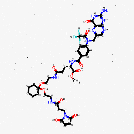 COC(=O)[C@H](CCC(=O)NCCOC1(OCCNC(=O)CCN2C(=O)C=CC2=O)CCCCC1)NC(=O)c1ccc(N(Cc2cnc3nc(N)[nH]c(=O)c3n2)C(=O)C(F)(F)F)cc1